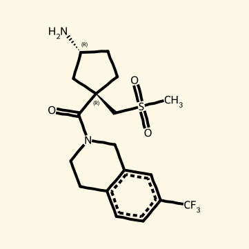 CS(=O)(=O)C[C@]1(C(=O)N2CCc3ccc(C(F)(F)F)cc3C2)CC[C@@H](N)C1